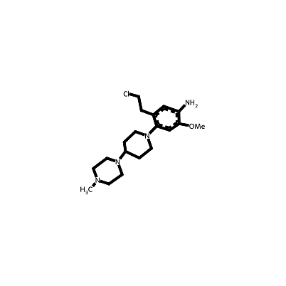 COc1cc(N2CCC(N3CCN(C)CC3)CC2)c(CCCl)cc1N